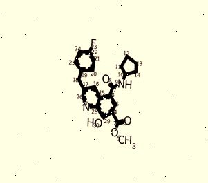 COC(=O)c1cc(C(=O)NC2CCCC2)c2cc(Cc3ccc(F)cc3)cnc2c1O